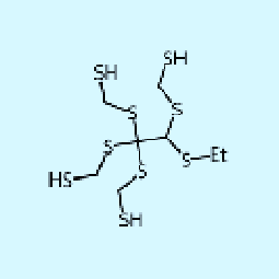 CCSC(SCS)C(SCS)(SCS)SCS